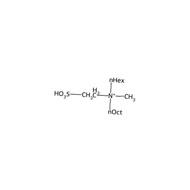 CCCCCCCC[N+](C)(C)CCCCCC.CS(=O)(=O)O